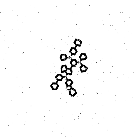 c1ccc(-c2ccc(N(c3ccccc3)c3cc(-c4ccc(N(c5cccc(-c6ccccc6)c5)c5ccc6c(c5)sc5ccccc56)c5ccccc45)cc(N(c4ccccc4)c4ccccc4)c3)cc2)cc1